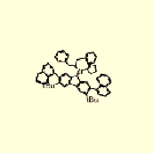 CC(C)(C)c1cc2c(cc1-c1cccc3ccccc13)[CH]([Zr]([C]1=CC=CC1)=[C](Cc1ccccc1)Cc1ccccc1)c1cc(-c3cccc4ccccc34)c(C(C)(C)C)cc1-2